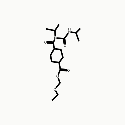 CCOCOC(=O)C1CCC(C(=O)N(C(=O)NC(C)C)C(C)C)CC1